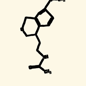 COc1ccc2c(c1)COCC2CCNC(C)=O